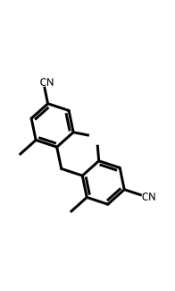 Cc1cc(C#N)cc(C)c1Cc1c(C)cc(C#N)cc1C